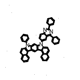 c1ccc(-c2nc(-c3ccccc3)c3cc(-n4c5cc6c(cc5c5c7ccccc7ccc54)c4c5ccccc5ccc4n6-c4ccccc4)ccc3n2)cc1